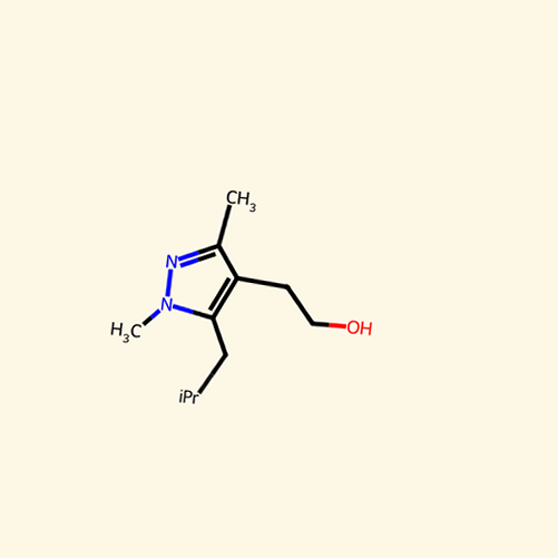 Cc1nn(C)c(CC(C)C)c1CCO